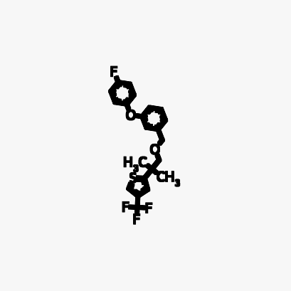 CC(C)(COCc1cccc(Oc2ccc(F)cc2)c1)c1cc(C(F)(F)F)cs1